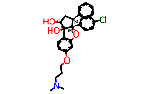 CN(C)CCCOc1ccc2c(c1)O[C@@]1(c3ccc(Cl)cc3)[C@H](c3ccccc3)C[C@H](O)[C@@]21O